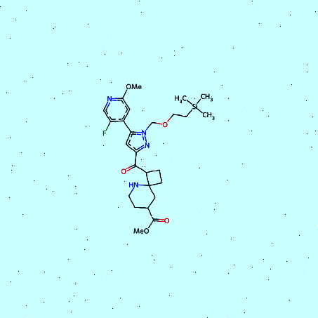 COC(=O)C1CCNC2(CCC2C(=O)c2cc(-c3cc(OC)ncc3F)n(COCC[Si](C)(C)C)n2)C1